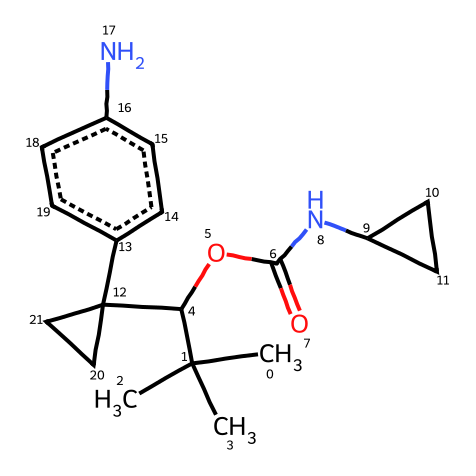 CC(C)(C)C(OC(=O)NC1CC1)C1(c2ccc(N)cc2)CC1